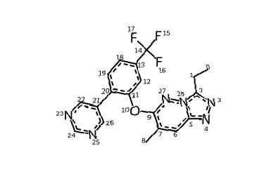 CCc1nnc2cc(C)c(Oc3cc(C(F)(F)F)ccc3-c3cncnc3)nn12